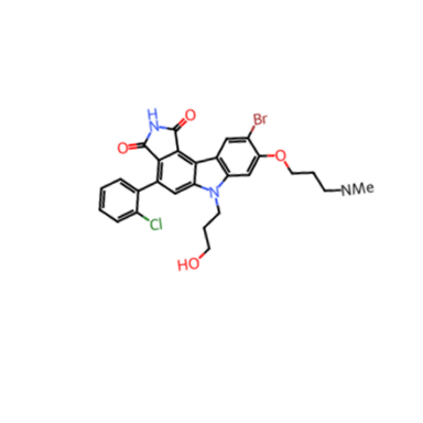 CNCCCOc1cc2c(cc1Br)c1c3c(c(-c4ccccc4Cl)cc1n2CCCO)C(=O)NC3=O